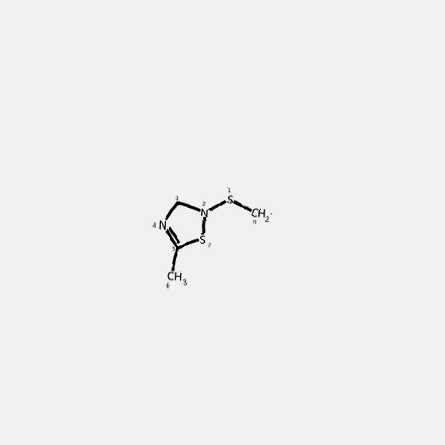 [CH2]SN1CN=C(C)S1